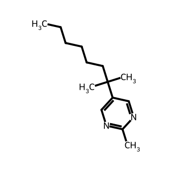 CCCCCCC(C)(C)c1cnc(C)nc1